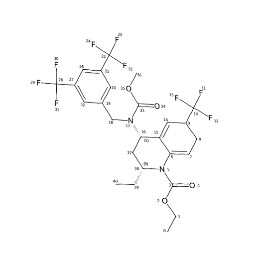 CCOC(=O)N1C2=CCC(C(F)(F)F)C=C2[C@@H](N(Cc2cc(C(F)(F)F)cc(C(F)(F)F)c2)C(=O)OC)C[C@H]1CC